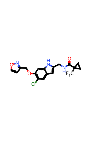 O=C(NCc1cc2cc(Cl)c(OCc3ccon3)cc2[nH]1)C1(C(F)(F)F)CC1